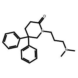 CN(C)CCCN1CC(c2ccccc2)(c2ccccc2)CCC1=O